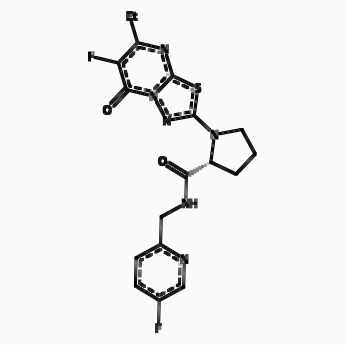 CCc1nc2sc(N3CCC[C@@H]3C(=O)NCc3ccc(F)cn3)nn2c(=O)c1F